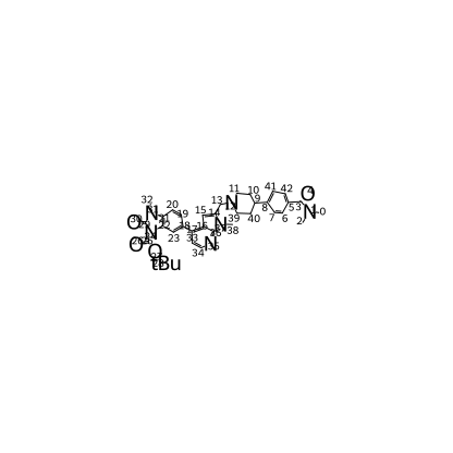 CN(C)C(=O)c1ccc(C2CCN(Cc3cc4c(-c5ccc6c(c5)n(C(=O)OC(C)(C)C)c(=O)n6C)ccnc4n3C)CC2)cc1